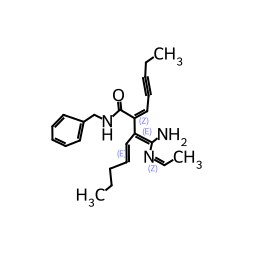 C\C=N/C(N)=C(\C=C\CCC)C(=C/C#CCC)/C(=O)NCc1ccccc1